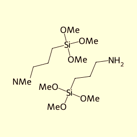 CNCCC[Si](OC)(OC)OC.CO[Si](CCCN)(OC)OC